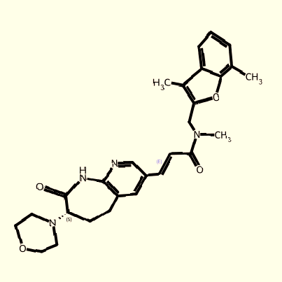 Cc1c(CN(C)C(=O)/C=C/c2cnc3c(c2)CC[C@H](N2CCOCC2)C(=O)N3)oc2c(C)cccc12